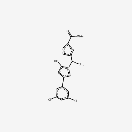 COC(=O)c1ccc(C(C)n2nc(-c3cc(Cl)cc(Cl)c3)cc2O)s1